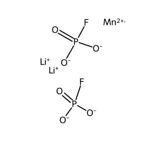 O=P([O-])([O-])F.O=P([O-])([O-])F.[Li+].[Li+].[Mn+2]